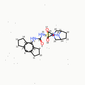 O=C(Nc1c2c(cc3c1CCC3)CCC2)NS(=O)(=O)N1CC2CCC(C1)N2C1CC1